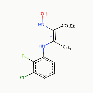 CCOC(=O)/C(NO)=C(\C)Nc1cccc(Cl)c1F